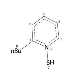 CCCCc1cccc[n+]1S